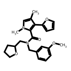 COc1cccc(CN(CC2CCCO2)C(=O)c2c(-c3ccco3)c(C)cn2C)c1